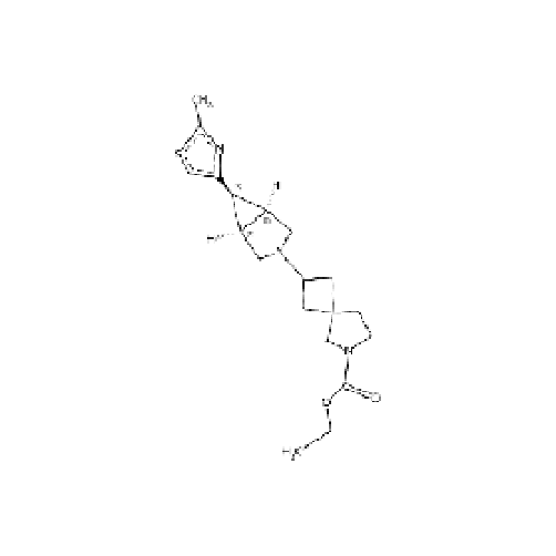 CCOC(=O)N1CCC2(CC(N3C[C@@H]4[C@H](C3)[C@@H]4c3csc(C)n3)C2)C1